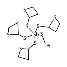 CC(C)[S][Sb]([S]C1CCS1)([S]C1CCS1)([S]C1CCS1)[S]C1CCS1